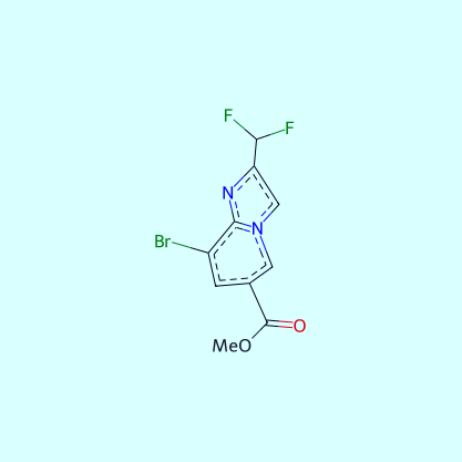 COC(=O)c1cc(Br)c2nc(C(F)F)cn2c1